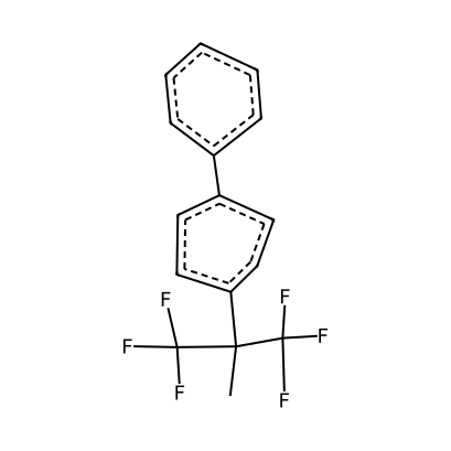 CC(c1ccc(-c2ccccc2)cc1)(C(F)(F)F)C(F)(F)F